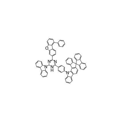 c1ccc(-c2cccc3oc4cc(C5=NC(n6c7ccccc7c7ccccc76)NC(c6ccc(-n7c8ccccc8c8ccc9c(c87)-c7ccccc7C97c8ccccc8-c8ccccc87)cc6)=N5)ccc4c23)cc1